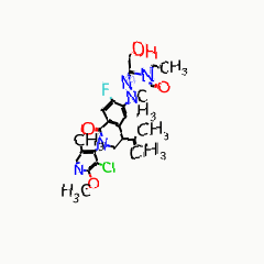 CCN(C=O)/C(CO)=N\N(C)c1cc2c(cc1F)C(=O)N(c1c(C)cnc(OC)c1Cl)CC2C(C)C